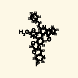 Cc1cnc(-c2c(CCC34CCC(CC3)OC4)nc3c(c2-c2ccc4c(c2)OCC(=O)N4Cc2ccc(F)cn2)c(=O)n2n3CCC2)o1